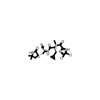 CN(C(=O)c1nc(Cl)c(Cl)[nH]1)[C@@H](CC1CC1)C(=O)N[C@H](C#N)C[C@@H]1CC(C)(C)NC1=O